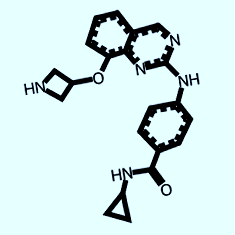 O=C(NC1CC1)c1ccc(Nc2ncc3cccc(OC4CNC4)c3n2)cc1